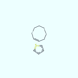 C1=CCCCCCC1.c1ccsc1